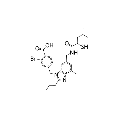 CCCc1nc2c(C)cc(CNC(=O)C(S)CC(C)C)cc2n1Cc1ccc(C(=O)O)c(Br)c1